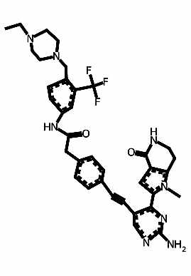 CCN1CCN(Cc2ccc(NC(=O)Cc3ccc(C#Cc4cnc(N)nc4-c4cc5c(n4C)CCNC5=O)cc3)cc2C(F)(F)F)CC1